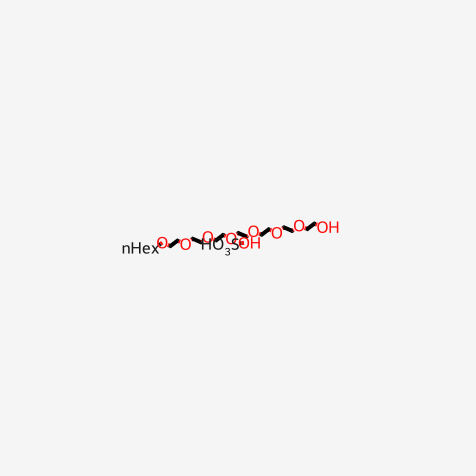 CCCCCCOCCOCCOCCOCCOCCOCCOCCO.O=S(=O)(O)O